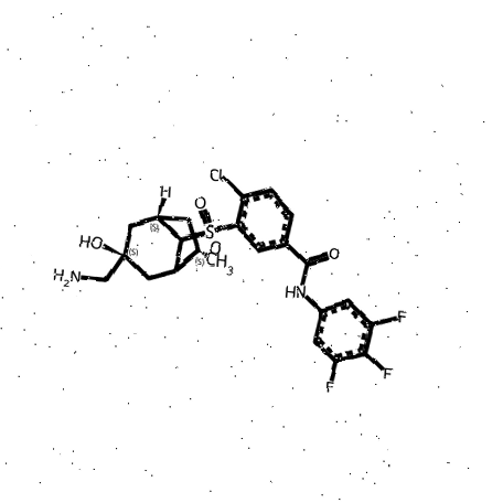 C[C@H]1C[C@H]2C[C@@](O)(CN)CC1C2S(=O)(=O)c1cc(C(=O)Nc2cc(F)c(F)c(F)c2)ccc1Cl